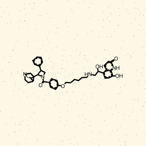 O=C(c1ccc(OCCCCCCNCC(O)c2ccc(O)c3[nH]c(=O)ccc23)cc1)N1CC(c2ccccc2)C1C1CN2CCC1CC2